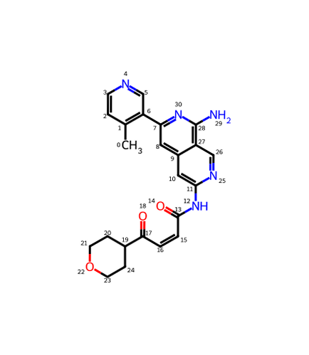 Cc1ccncc1-c1cc2cc(NC(=O)/C=C\C(=O)C3CCOCC3)ncc2c(N)n1